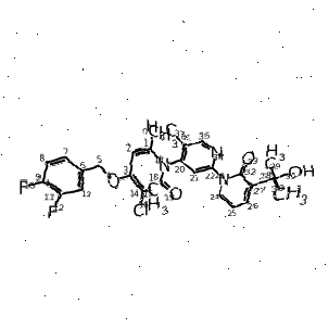 C/C(=C/C(OCc1ccc(F)c(F)c1)=C(\C)Cl)N(C=O)c1cc(-n2cccc(C(C)(C)O)c2=O)ncc1C